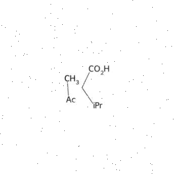 CC(C)=O.CC(C)CC(=O)O